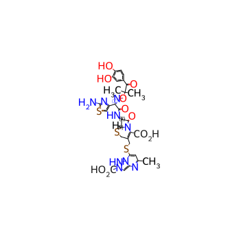 CC1=NC2=CN(C(=O)O)NN2C(SCC2=C(C(=O)O)N3C(=O)[C@@H](NC(=O)/C(=N\OC(C)(C)C(=O)c4ccc(O)c(O)c4)c4csc(N)n4)[C@H]3SC2)=C1